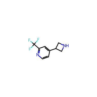 FC(F)(F)c1cc(C2CNC2)ccn1